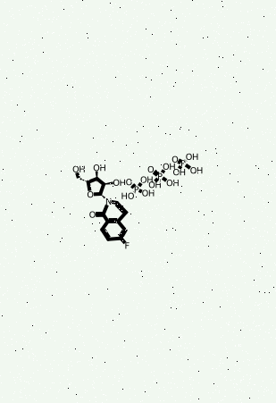 O=P(O)(O)O.O=P(O)(O)O.O=P(O)(O)O.O=c1c2ccc(F)cc2ccn1[C@@H]1O[C@H](CO)[C@@H](O)[C@H]1O